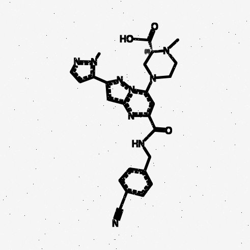 CN1CCN(c2cc(C(=O)NCc3ccc(C#N)cc3)nc3cc(-c4ccnn4C)nn23)C[C@@H]1C(=O)O